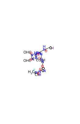 CC1(F)C[C@H](C#N)N(C(=O)CNC(=O)c2ccnc3ccc(OCCCN4CCN(C(=O)CC/C=N\N[C@H](CCCCNC(=O)CCCc5ccc(I)cc5)NC(=O)CN5CCN(COC=O)CCN(COC=O)CCN(CC(=O)O)CC5)CC4)cc23)C1